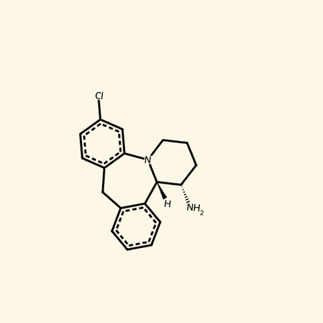 N[C@H]1CCCN2c3cc(Cl)ccc3Cc3ccccc3[C@@H]12